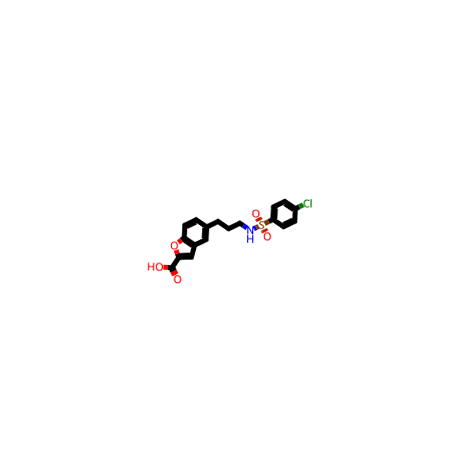 O=C(O)c1cc2cc(CCCNS(=O)(=O)c3ccc(Cl)cc3)ccc2o1